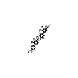 CCCC1CCC(c2ccc(C(=O)Oc3ccc(-c4ccc(OCC)c(F)c4F)cc3)c(F)c2F)CC1